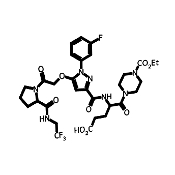 CCOC(=O)N1CCN(C(=O)C(CCC(=O)O)NC(=O)c2cc(OCC(=O)N3CCCC3C(=O)NCC(F)(F)F)n(-c3cccc(F)c3)n2)CC1